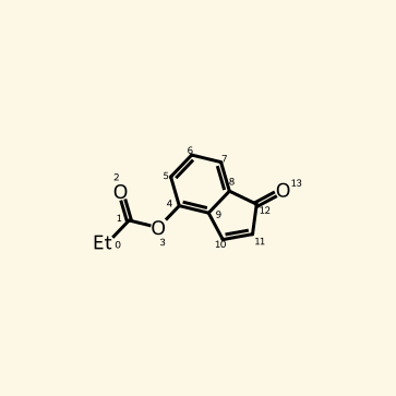 CCC(=O)Oc1cccc2c1C=CC2=O